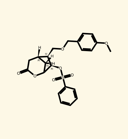 COc1ccc(COC[C@@H]2[C@H]3CC(=O)OC([C@H]3O)[C@@H]2OS(=O)(=O)c2ccccc2)cc1